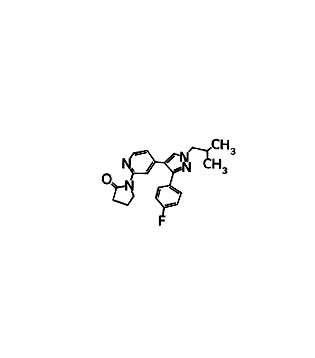 CC(C)Cn1cc(-c2ccnc(N3CCCC3=O)c2)c(-c2ccc(F)cc2)n1